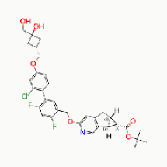 CC(C)(C)OC(=O)[C@H]1[C@H]2Cc3cc(OCc4cc(-c5ccc(OC[C@H]6C[C@@](O)(CO)C6)cc5Cl)c(F)cc4F)ncc3[C@@H]21